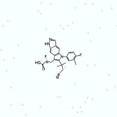 Cc1cc(-n2c(C(C)(C)CC#N)c(C[C@@H](F)C(=O)O)c3cc4[nH]ncc4cc32)ccc1F